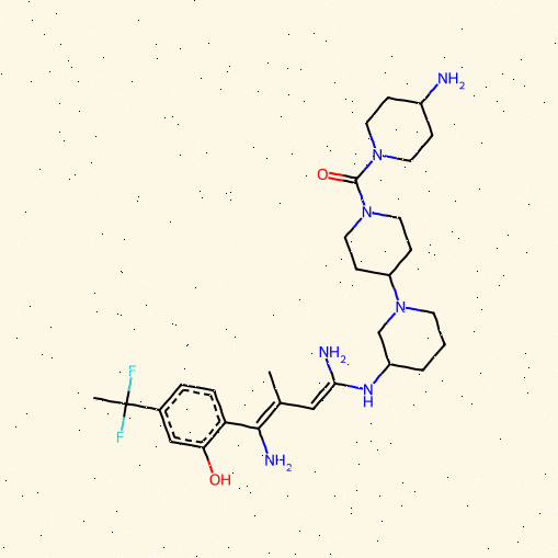 CC(/C=C(\N)NC1CCCN(C2CCN(C(=O)N3CCC(N)CC3)CC2)C1)=C(/N)c1ccc(C(C)(F)F)cc1O